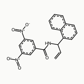 C=CC(NC(=O)c1cc([N+](=O)[O-])cc([N+](=O)[O-])c1)c1cccc2ccccc12